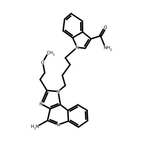 COCCc1nc2c(N)nc3ccccc3c2n1CCCCn1cc(C(N)=O)c2ccccc21